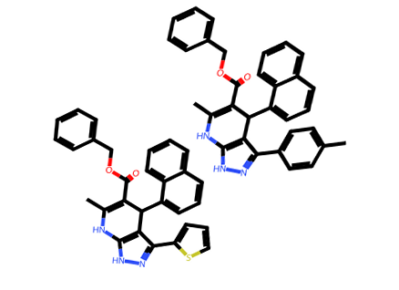 CC1=C(C(=O)OCc2ccccc2)C(c2cccc3ccccc23)c2c(-c3ccc(C)cc3)n[nH]c2N1.CC1=C(C(=O)OCc2ccccc2)C(c2cccc3ccccc23)c2c(-c3cccs3)n[nH]c2N1